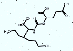 CCCCC(CCC)[C@H](NC(=O)N[C@@H](CCC(=O)O)C(=O)O)C(=O)O